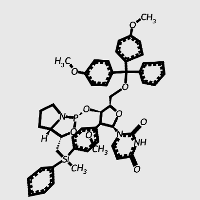 COc1ccc(C(OC[C@H]2O[C@@H](n3ccc(=O)[nH]c3=O)C(OC)[C@H]2O[P@]2O[C@H](C[Si](C)(c3ccccc3)c3ccccc3)[C@@H]3CCCN32)(c2ccccc2)c2ccc(OC)cc2)cc1